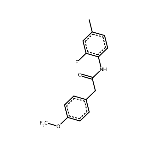 Cc1ccc(NC(=O)Cc2ccc(OC(F)(F)F)cc2)c(F)c1